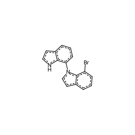 Brc1cccc2ccn(-c3cccc4cc[nH]c34)c12